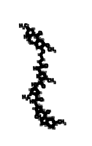 C=C1C[C@H]2C=Nc3cc(OCCCC(=O)Nc4cn(C)c(C(=O)Nc5cc(C(=O)Nc6cc(C(=O)n7ccc8ccc(C)cc87)n(C)c6)n(C)c5)n4)c(OC)cc3C(=O)N2C1